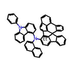 CCc1ccc2cccc3c2c1C1(c2ccccc2-c2ccc(N(c4cccc5ccccc45)c4cccc5c4c4ccccc4n5-c4ccccc4)cc21)c1ccccc1-3